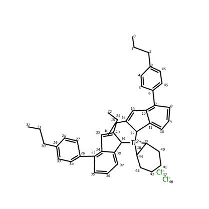 CCCc1ccc(-c2cccc3c2C=C(CC)[CH]3[Ti+2]2([CH]3C(CC)=Cc4c(-c5ccc(CCC)cc5)cccc43)[CH]3CCCC[CH]32)cc1.[Cl-].[Cl-]